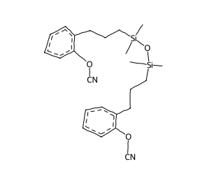 C[Si](C)(CCCc1ccccc1OC#N)O[Si](C)(C)CCCc1ccccc1OC#N